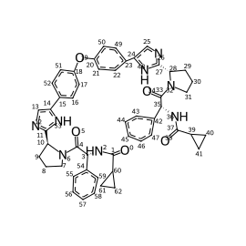 O=C(N[C@@H](C(=O)N1CCC[C@H]1c1ncc(-c2ccc(Oc3ccc(-c4cnc([C@@H]5CCCN5C(=O)[C@H](NC(=O)C5CC5)c5ccccc5)[nH]4)cc3)cc2)[nH]1)c1ccccc1)C1CC1